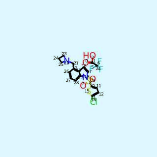 O=C(O)C(F)(F)F.O=S(=O)(c1ccc(Cl)s1)n1ccc2c(CN3CCC3)cccc21